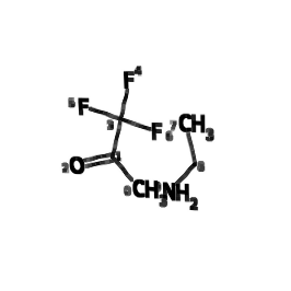 CC(=O)C(F)(F)F.CCN